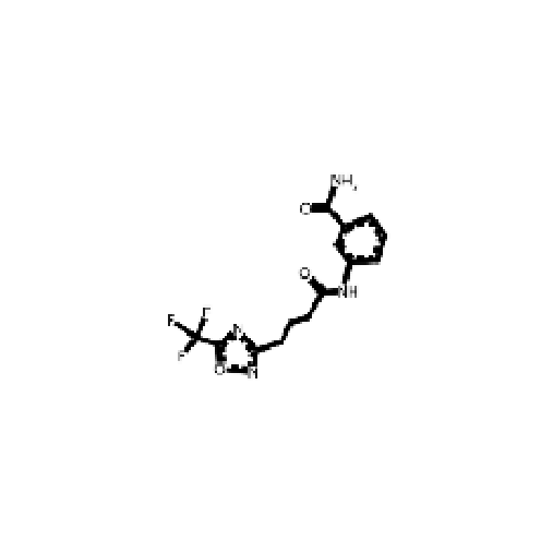 NC(=O)c1cccc(NC(=O)CCCc2noc(C(F)(F)F)n2)c1